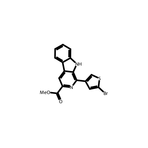 COC(=O)c1cc2c([nH]c3ccccc32)c(-c2csc(Br)c2)n1